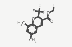 Cc1cc(C)c2c(c1)C=C(C(=O)OCI)C(C(F)(F)F)O2